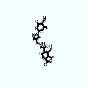 Cc1cc(-n2cc(CNC[C@H](O)c3ccc4c(c3C)COC4=O)cn2)nc(C)c1C#N